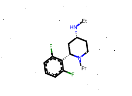 CCN[C@@H]1CCN(C(C)C)[C@H](c2c(F)cccc2F)C1